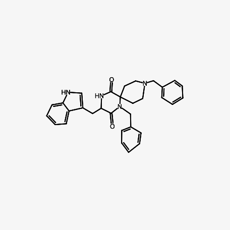 O=C1C(Cc2c[nH]c3ccccc23)NC(=O)C2(CCN(Cc3ccccc3)CC2)N1Cc1ccccc1